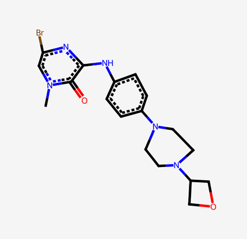 Cn1cc(Br)nc(Nc2ccc(N3CCN(C4COC4)CC3)cc2)c1=O